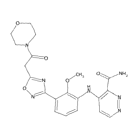 COc1c(Nc2ccnnc2C(N)=O)cccc1-c1noc(CC(=O)N2CCOCC2)n1